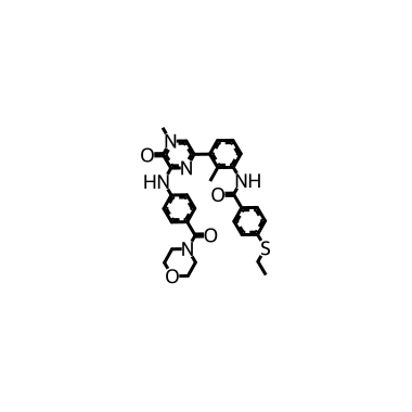 CCSc1ccc(C(=O)Nc2cccc(-c3cn(C)c(=O)c(Nc4ccc(C(=O)N5CCOCC5)cc4)n3)c2C)cc1